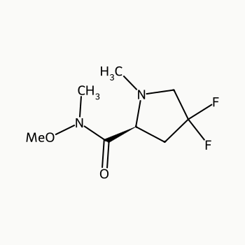 CON(C)C(=O)[C@@H]1CC(F)(F)CN1C